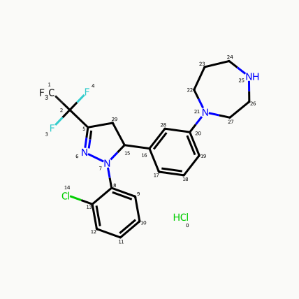 Cl.FC(F)(F)C(F)(F)C1=NN(c2ccccc2Cl)C(c2cccc(N3CCCNCC3)c2)C1